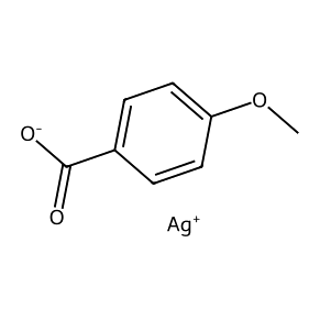 COc1ccc(C(=O)[O-])cc1.[Ag+]